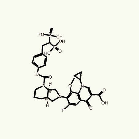 C=P(O)(O)C(Cc1ccc(OC(=O)N2CCC[C@@H]3CN(c4c(F)cc5c(=O)c(C(=O)O)cn(C6CC6)c5c4OC)C[C@@H]32)cc1)P(=O)(O)O